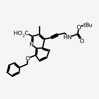 Cc1c(C(=O)O)nc2c(OCc3ccccc3)cccc2c1C#CCNC(=O)OC(C)(C)C